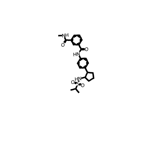 CNC(=O)c1cccc(C(=O)Nc2ccc(C3CCCC3NS(=O)(=O)C(C)C)cc2)c1